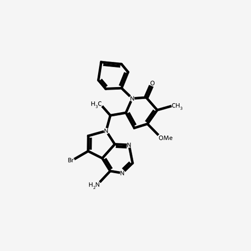 COc1cc(C(C)n2cc(Br)c3c(N)ncnc32)n(-c2ccccc2)c(=O)c1C